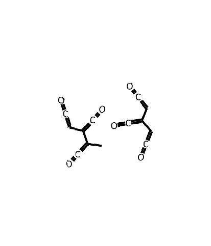 CC(=C=O)C(=C=O)C=C=O.O=C=CC(=C=O)C=C=O